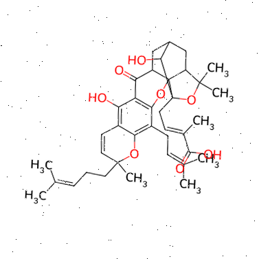 CC(C)=CCCC1(C)C=Cc2c(O)c3c(c(CC=C(C)C)c2O1)OC12C(CC4CC1C(C)(C)OC2(C/C=C(\C)C(=O)O)C4O)C3=O